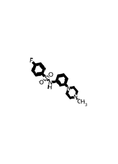 CN1CCN(c2cccc(NS(=O)(=O)c3ccc(F)cc3)c2)CC1